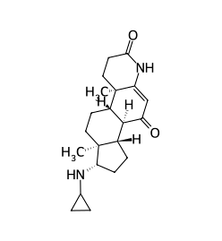 C[C@]12CC[C@H]3[C@@H](C(=O)C=C4NC(=O)CC[C@@]43C)[C@@H]1CC[C@@H]2NC1CC1